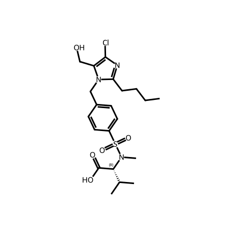 CCCCc1nc(Cl)c(CO)n1Cc1ccc(S(=O)(=O)N(C)[C@@H](C(=O)O)C(C)C)cc1